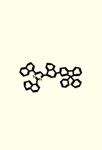 c1ccc(C2(c3ccccc3)c3ccccc3-c3ccc(-c4ccc(-c5cc(-c6cccc7ccccc67)nc(-c6cccc7ccccc67)n5)c5ccccc45)cc32)cc1